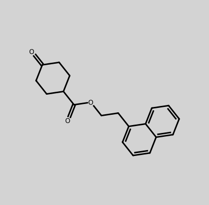 O=C1CCC(C(=O)OCCc2cccc3ccccc23)CC1